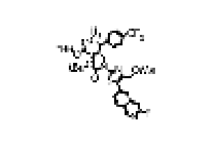 COCc1nc(N(C[C@@H](NC(=O)OC(C)(C)C)[C@@H](C)c2ccc(C(F)(F)F)cc2)C(=O)OC(C)(C)C)sc1-c1ccc2cnc(F)cc2c1